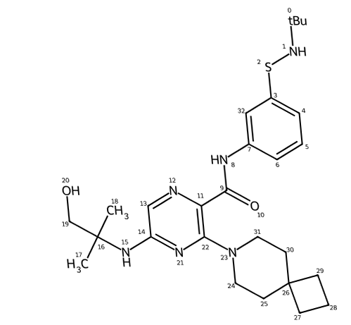 CC(C)(C)NSc1cccc(NC(=O)c2ncc(NC(C)(C)CO)nc2N2CCC3(CCC3)CC2)c1